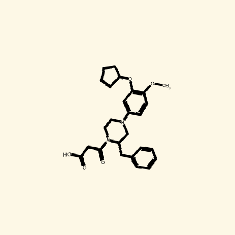 COc1ccc(N2CCN(C(=O)CC(=O)O)C(Cc3ccccc3)C2)cc1OC1CCCC1